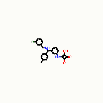 Cc1ccc(C(N[C@H](C)c2cccc(F)c2)c2cccc(Nc3c(O)c(=O)c3=O)c2)cc1